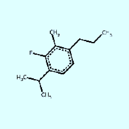 CCCc1ccc(C(C)C)c(F)c1C